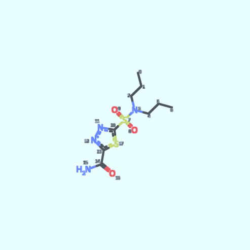 CCCN(CCC)S(=O)(=O)c1nnc(C(N)=O)s1